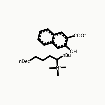 CCCCCCCCCCCCCC(CCCC)[N+](C)(C)C.O=C([O-])c1cc2ccccc2cc1O